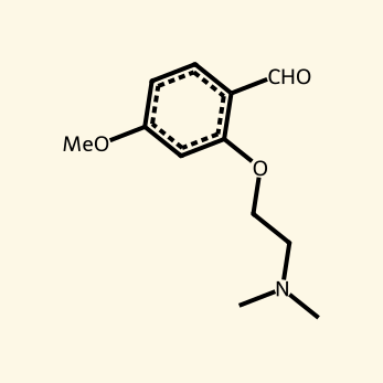 COc1ccc(C=O)c(OCCN(C)C)c1